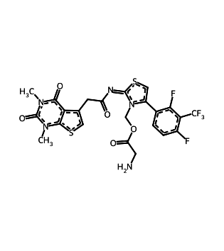 Cn1c(=O)c2c(CC(=O)N=c3scc(-c4ccc(F)c(C(F)(F)F)c4F)n3COC(=O)CN)csc2n(C)c1=O